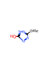 COc1nnc(O)nn1